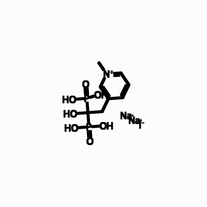 C[n+]1cccc(CC(O)(P(=O)(O)O)P(=O)(O)O)c1.[I-].[Na].[Na]